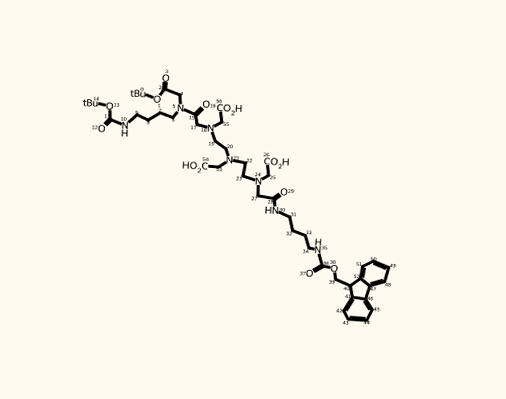 CC(C)(C)OC(=O)CN(CCCCNC(=O)OC(C)(C)C)C(=O)CN(CCN(CCN(CC(=O)O)CC(=O)NCCCCNC(=O)OCC1c2ccccc2-c2ccccc21)CC(=O)O)CC(=O)O